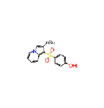 CCCCc1cn2ccccc2c1S(=O)(=O)c1ccc(O)cc1